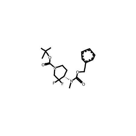 CN(C(=O)OCc1ccccc1)[C@H]1CCN(C(=O)OC(C)(C)C)CC1(F)F